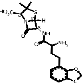 CC1(C)S[C@@H]2[C@H](NC(=O)C(N)CCc3cccc4c3OCO4)C(=O)N2[C@H]1C(=O)O